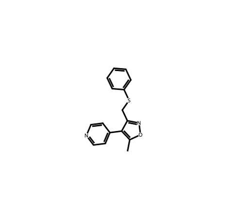 Cc1onc(CSc2ccccc2)c1-c1ccncc1